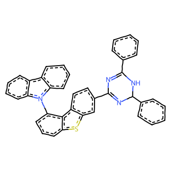 c1ccc(C2=NC(c3ccc4c(c3)sc3cccc(-n5c6ccccc6c6ccccc65)c34)=NC(c3ccccc3)N2)cc1